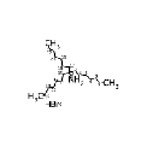 Br.CCCCCCCC(N)(CCCCCCC)CCCCCCC